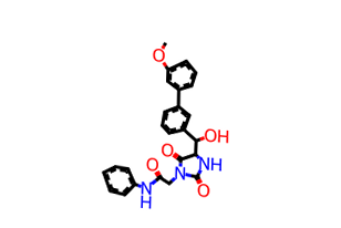 COc1cccc(-c2cccc(C(O)C3NC(=O)N(CC(=O)Nc4ccccc4)C3=O)c2)c1